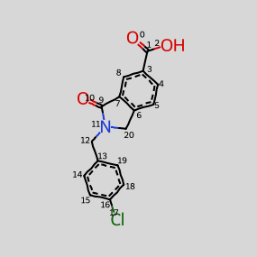 O=C(O)c1ccc2c(c1)C(=O)N(Cc1ccc(Cl)cc1)C2